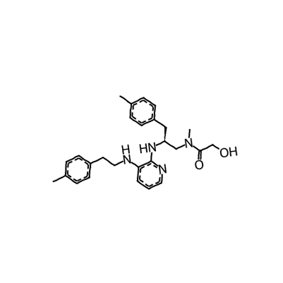 Cc1ccc(CCNc2cccnc2N[C@@H](Cc2ccc(C)cc2)CN(C)C(=O)CO)cc1